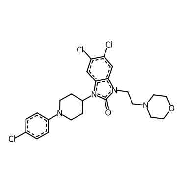 O=c1n(CCN2CCOCC2)c2cc(Cl)c(Cl)cc2n1C1CCN(c2ccc(Cl)cc2)CC1